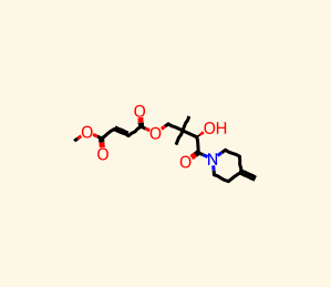 C=C1CCN(C(=O)[C@H](O)C(C)(C)COC(=O)/C=C/C(=O)OC)CC1